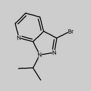 CC(C)n1nc(Br)c2cccnc21